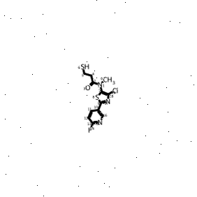 CN(C(=O)CCS)c1sc(-c2ccc(F)nc2)nc1Cl